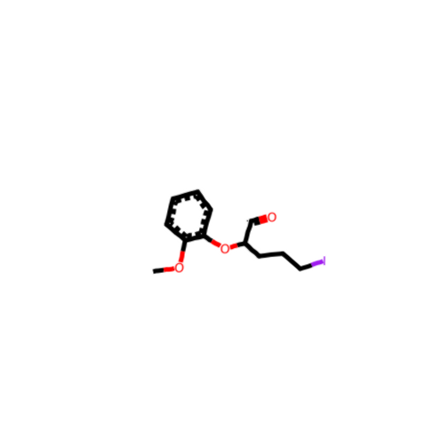 COc1ccccc1OC([C]=O)CCCI